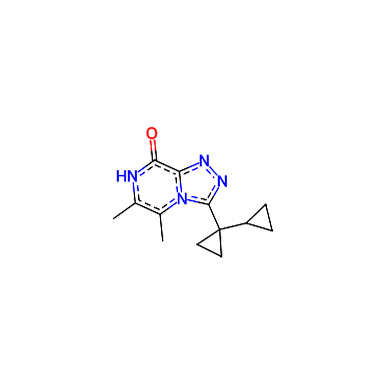 Cc1[nH]c(=O)c2nnc(C3(C4CC4)CC3)n2c1C